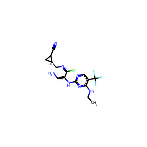 CCNc1nc(NC(=C/N)/C(Cl)=N\C[C@H]2CC2C#N)ncc1C(F)(F)F